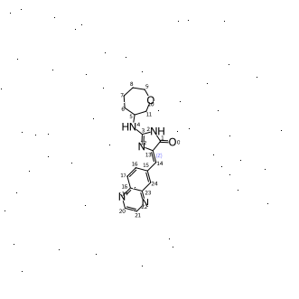 O=C1NC(NC2CCCCOC2)=N/C1=C\c1ccc2nccnc2c1